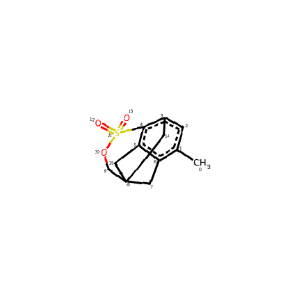 Cc1cc2c3c4c1CC(COS3(=O)=O)(C2)C4